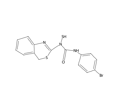 O=C(Nc1ccc(Br)cc1)N(S)C1=Nc2ccccc2CS1